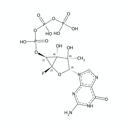 C[C@]1(O)[C@H](n2cnc3c(=O)[nH]c(N)nc32)O[C@]2(F)[C@@H](OP(=O)(O)OP(=O)(O)OP(=O)(O)O)[C@@]12O